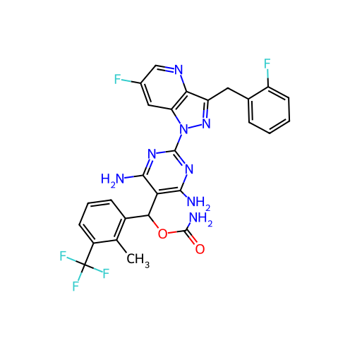 Cc1c(C(OC(N)=O)c2c(N)nc(-n3nc(Cc4ccccc4F)c4ncc(F)cc43)nc2N)cccc1C(F)(F)F